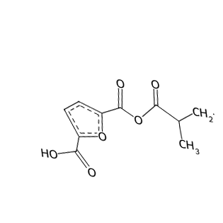 [CH2]C(C)C(=O)OC(=O)c1ccc(C(=O)O)o1